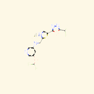 CCC(C)SN(Cc1ncc(-c2nnc(C(F)F)o2)s1)c1cncc(OC(F)F)c1